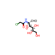 O=C[C@@H](NC(=O)CCl)[C@@H](O)[C@H](O)[C@H](O)CO